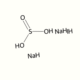 I.O=S(O)O.[NaH].[NaH]